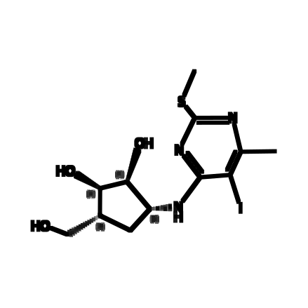 CSc1nc(C)c(I)c(N[C@@H]2C[C@H](CO)[C@@H](O)[C@H]2O)n1